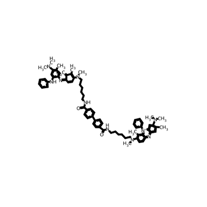 C=C1C(C)=C(N(C)CCCCCCNC(=O)c2ccc(-c3ccc(C(=O)NCCCCCCN(C)c4ccc5nc6cc(C)c(N(C)C)cc6[n+](-c6ccccc6)c5c4C)cc3)cc2)C=C/C1=N/c1cc(C)c(N(C)C)cc1Nc1ccccc1